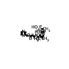 CC(NP1(=O)OCC(C)(C)[C@H](C(=O)NCCC(=O)OCc2cnccn2)O1)C(=O)O